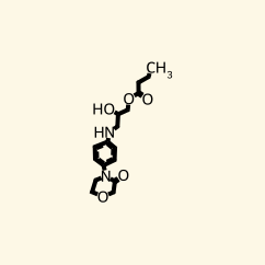 CCCC(=O)OCC(O)CNc1ccc(N2CCOCC2=O)cc1